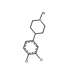 CC(C)N1CCC(c2ccc(Cl)c(Cl)c2)CC1